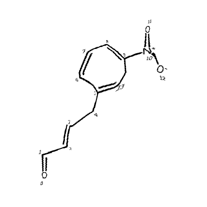 O=CC=CCc1cccc([N+](=O)[O-])c1